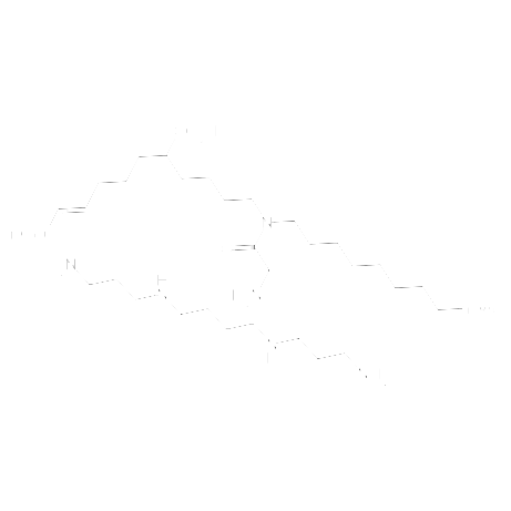 CCCCCCCC/C=C/CCCC(CCCCN(CCCCCCCCCCCCCCCCCC)C(=O)CN)C(=O)O.NCCCNCCCCNCCCN